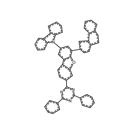 c1ccc(-c2nc(-c3ccccc3)nc(-c3ccc4c(c3)oc3c(-c5ccc6ccc7ccccc7c6c5)cc(-n5c6ccccc6c6ccccc65)cc34)n2)cc1